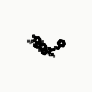 CC(CCOCc1ccccc1)[C@H]1CC[C@H]2[C@@H]3CCC4N(C)C(=O)CC[C@]4(C)[C@H]3CC[C@]12C